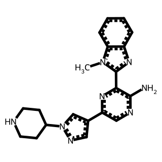 Cn1c(-c2nc(-c3cnn(C4CCNCC4)c3)cnc2N)nc2ccccc21